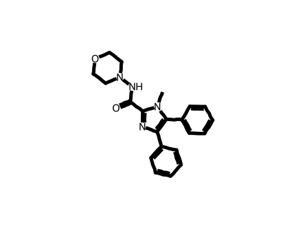 Cn1c(C(=O)NN2CCOCC2)nc(-c2ccccc2)c1-c1ccccc1